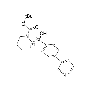 CC(C)(C)OC(=O)N1CCCC[C@H]1[C@@H](O)c1ccc(-c2cccnc2)cc1